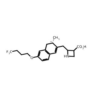 C[C@H]1Cc2cc(OCCCC(F)(F)F)ccc2C=C1CC1NCC1C(=O)O